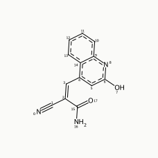 N#C/C(=C/c1cc(O)nc2ccccc12)C(N)=O